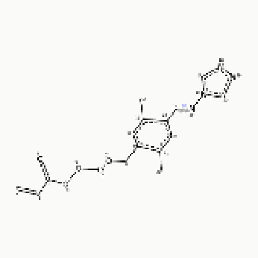 C=CC(=O)OOOOCc1cc(C)c(/C=N/n2cnnc2)cc1C